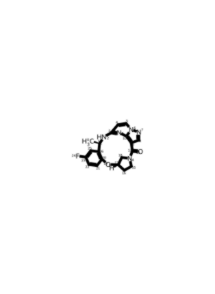 C[C@H]1Nc2ccn3ncc(c3n2)C(=O)N2CC[C@@H](C2)Oc2ccc(F)cc21